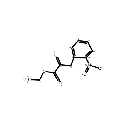 CCOC(=O)C(=O)Cc1ccccc1[N+](=O)[O-]